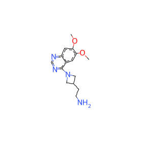 COc1cc2ncnc(N3CC(CCN)C3)c2cc1OC